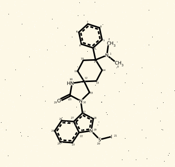 CN(C)C1(c2ccccc2)CCC2(CC1)CN(c1cn(SI)c3ccccc13)C(=O)N2